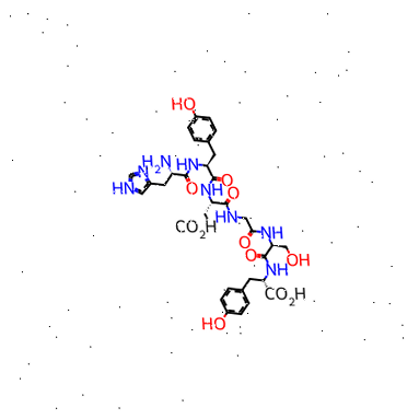 N[C@@H](Cc1c[nH]cn1)C(=O)N[C@@H](Cc1ccc(O)cc1)C(=O)N[C@@H](CC(=O)O)C(=O)NCC(=O)N[C@@H](CO)C(=O)N[C@@H](Cc1ccc(O)cc1)C(=O)O